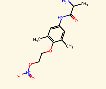 Cc1cc(NC(=O)C(C)N)cc(C)c1OCCO[N+](=O)[O-]